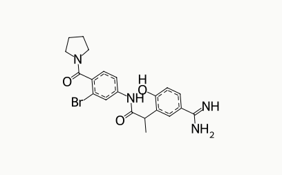 CC(C(=O)Nc1ccc(C(=O)N2CCCC2)c(Br)c1)c1cc(C(=N)N)ccc1O